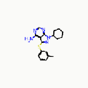 Cc1cccc(Sc2nn(C3CCCCC3)c3ncnc(N)c23)c1